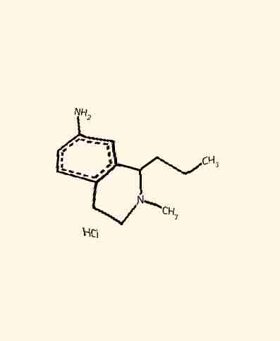 CCCC1c2cc(N)ccc2CCN1C.Cl